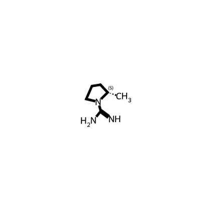 C[C@H]1CCCN1C(=N)N